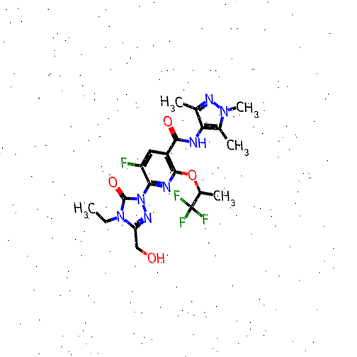 CCn1c(CO)nn(-c2nc(OC(C)C(F)(F)F)c(C(=O)Nc3c(C)nn(C)c3C)cc2F)c1=O